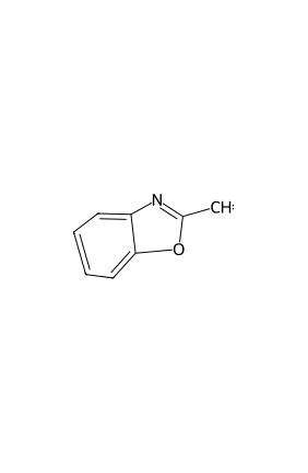 [CH]c1nc2ccccc2o1